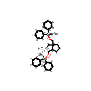 CC(C)(C)[Si](OCC1CCCC1(CO[Si](c1ccccc1)(c1ccccc1)C(C)(C)C)CS(=O)(=O)O)(c1ccccc1)c1ccccc1